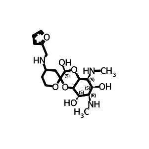 CN[C@@H]1[C@H](O)[C@H](NC)C2O[C@H](O)C3(CC(NCc4ccco4)CCO3)OC2[C@H]1O